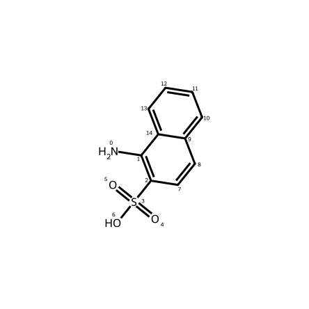 Nc1c(S(=O)(=O)O)ccc2ccccc12